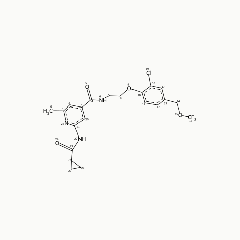 Cc1cc(C(=O)NCCOc2ccc(COC(F)(F)F)cc2Cl)cc(NC(=O)C2CC2)n1